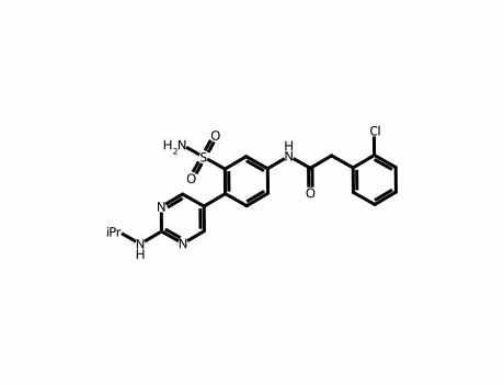 CC(C)Nc1ncc(-c2ccc(NC(=O)Cc3ccccc3Cl)cc2S(N)(=O)=O)cn1